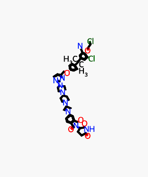 CC(C)(c1ccc(OCc2ccnc(N3CCN(C4CCN(C5CN(c6ccc7c(c6)C(=O)N(C6CCC(=O)NC6=O)C7=O)C5)CC4)CC3)n2)cc1)c1cc(Cl)c(OCCCl)c(C#N)c1